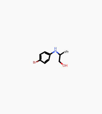 CCCC(CO)Nc1ccc(Br)cc1